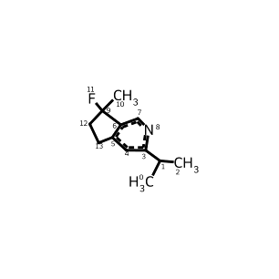 CC(C)c1cc2c(cn1)C(C)(F)CC2